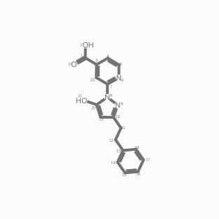 O=C(O)c1ccnc(-n2nc(CCc3ccccc3)cc2O)c1